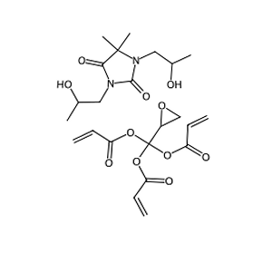 C=CC(=O)OC(OC(=O)C=C)(OC(=O)C=C)C1CO1.CC(O)CN1C(=O)N(CC(C)O)C(C)(C)C1=O